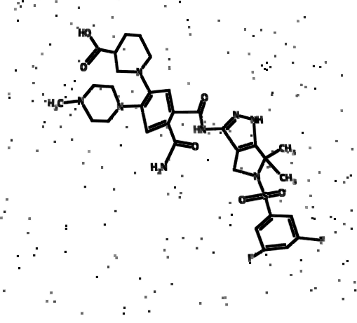 CN1CCN(c2cc(C(N)=O)c(C(=O)Nc3n[nH]c4c3CN(S(=O)(=O)c3cc(F)cc(F)c3)C4(C)C)cc2N2CCCC(C(=O)O)C2)CC1